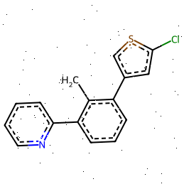 [CH2]c1c(-c2csc(Cl)c2)cccc1-c1ccccn1